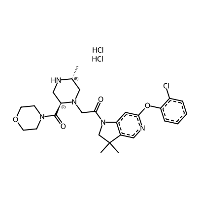 C[C@@H]1CN(CC(=O)N2CC(C)(C)c3cnc(Oc4ccccc4Cl)cc32)[C@@H](C(=O)N2CCOCC2)CN1.Cl.Cl